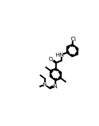 CCN(C)/C=N\c1cc(C)c(C(=O)CNc2cccc(Cl)c2)cc1C